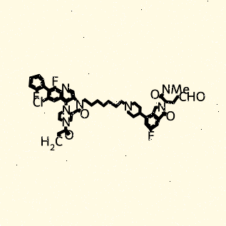 C=CC(=O)N1CCN2c3c(cnc4c(F)c(-c5ccccc5F)c(Cl)cc34)N(CCCCCCCN3CCC(c4cc(F)cc5c4CN(C(CCC=O)C(=O)NC)C5=O)CC3)C(=O)C2C1